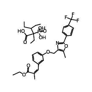 CCC(CC)C(CC)(C(=O)O)P(=O)(O)O.CCOC(=O)C(C)=Cc1cccc(OCc2nc(-c3ccc(C(F)(F)F)cc3)oc2C)c1